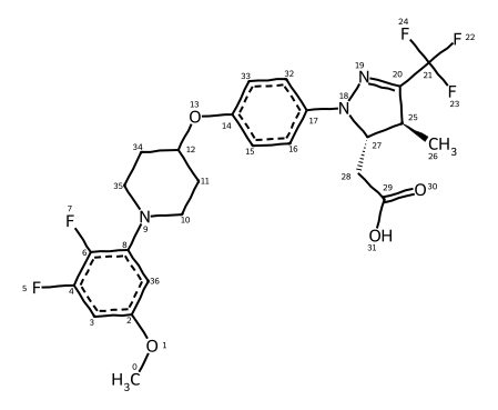 COc1cc(F)c(F)c(N2CCC(Oc3ccc(N4N=C(C(F)(F)F)[C@@H](C)[C@@H]4CC(=O)O)cc3)CC2)c1